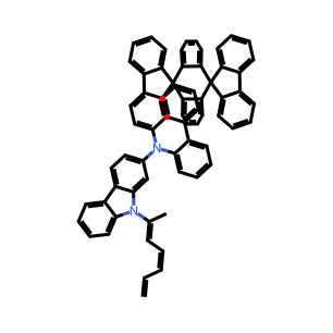 C=C/C=C\C=C(/C)n1c2ccccc2c2ccc(N(c3ccc4c(c3)C3(c5ccccc5-4)c4ccccc4C4(c5ccccc5-c5ccccc54)c4ccccc43)c3ccccc3-c3ccccc3)cc21